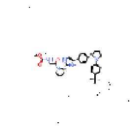 COC(=O)NCC(=O)N1CCC[C@H]1C1NC=C(c2ccc([C@H]3CCCN3c3ccc(C(C)(C)C)cc3)cc2)N1